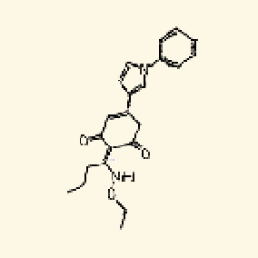 CCC/C(NOCC)=C1\C(=O)C=C(c2ccn(-c3ccccc3)c2)CC1=O